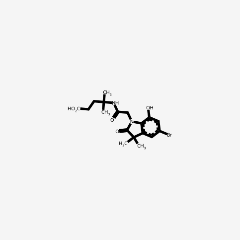 CC(C)(CCC(=O)O)NC(=O)CN1C(=O)C(C)(C)c2cc(Br)cc(O)c21